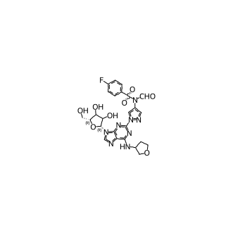 O=CN(c1cnn(-c2nc(NC3CCOC3)c3ncn([C@@H]4O[C@H](CO)C(O)C4O)c3n2)c1)S(=O)(=O)c1ccc(F)cc1